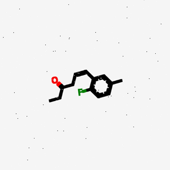 CCC(=O)C/C=C\c1cc(C)ccc1F